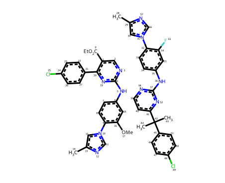 CCOC(=O)c1cnc(Nc2ccc(-n3cnc(C)c3)c(OC)c2)nc1-c1ccc(Cl)cc1.Cc1cn(-c2ccc(Nc3nccc(C(C)(C)c4ccc(Cl)cc4)n3)cc2F)cn1